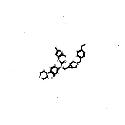 CCc1ccc(CN2CC3C(C2)C3CN(C(=O)Oc2cc(C)oc2C)c2ccc(N3CCOCC3)c(F)c2)cc1